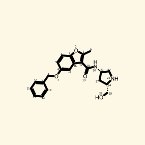 Cc1oc2ccc(OCc3ccccc3)cc2c1C(=O)N[C@@H]1CN[C@H](CO)C1